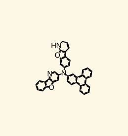 C1=Cc2c(oc3cc(N(c4cnc5c(c4)oc4ccccc45)c4ccc5c6ccccc6c6ccccc6c5c4)ccc23)NC1